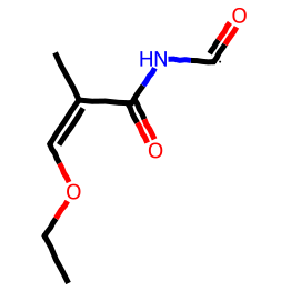 CCOC=C(C)C(=O)N[C]=O